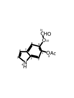 CC(=O)Oc1cc2[nH]ccc2cc1OC=O